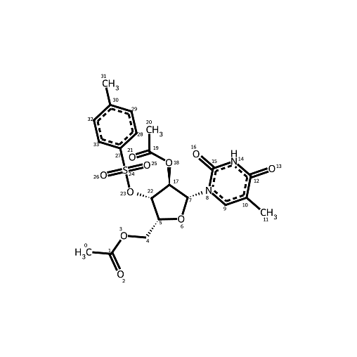 CC(=O)OC[C@H]1O[C@@H](n2cc(C)c(=O)[nH]c2=O)[C@H](OC(C)=O)[C@H]1OS(=O)(=O)c1ccc(C)cc1